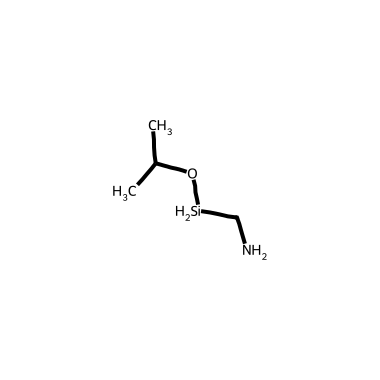 CC(C)O[SiH2]CN